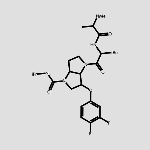 CNC(C)C(=O)NC(C(=O)N1CCC2C1C(Oc1ccc(F)c(F)c1)CN2C(=O)NC(C)C)C(C)(C)C